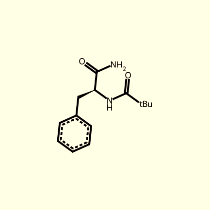 CC(C)(C)C(=O)N[C@@H](Cc1ccccc1)C(N)=O